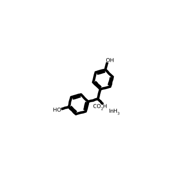 O=C(O)C(c1ccc(O)cc1)c1ccc(O)cc1.[InH3]